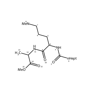 CCCCCCCC(=O)NC(CCCNC)C(=O)NC(C)C(=O)OC